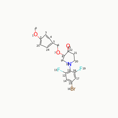 COc1ccc(COC2CN(c3c(F)cc(Br)cc3F)CCC2=O)cc1